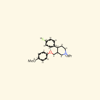 COc1ccc(OCC2CN(C(C)C)CCC2c2ccc(F)cc2)cc1